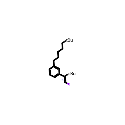 CCCC/C(=C\I)c1cccc(CCCCCC(C)(C)C)c1